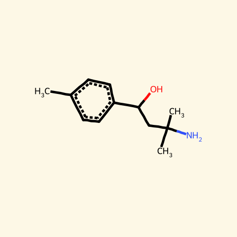 Cc1ccc(C(O)CC(C)(C)N)cc1